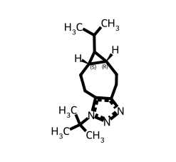 CC(C)C1[C@H]2CCc3c(nnn3C(C)(C)C)CC[C@@H]12